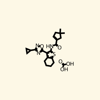 CC1(C)CC=C(C(=O)Nc2sc3c(c2-c2nc(C4CC4)no2)CCCC3)C1.O=C(O)O